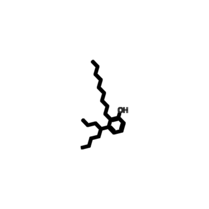 CCCCCCCCCc1c(O)cccc1C(CCC)CCCC